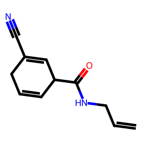 C=CCNC(=O)C1C=CCC(C#N)=C1